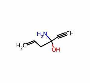 C#CC(N)(O)CC=C